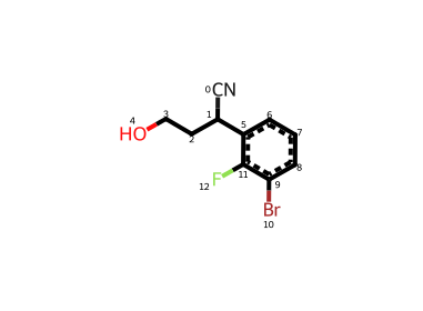 N#CC(CCO)c1cccc(Br)c1F